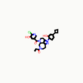 C=CC(=O)N1CCc2nn(-c3ccc(C4CCC4)cc3O)c3c2C(C1)N(C(=O)c1cnc(Cl)c(O)c1)CC3